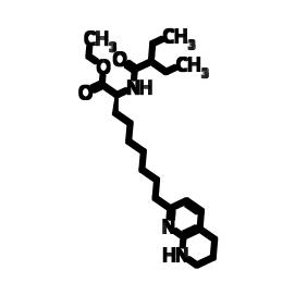 CCOC(=O)[C@H](CCCCCCCc1ccc2c(n1)NCCC2)NC(=O)C(CC)CC